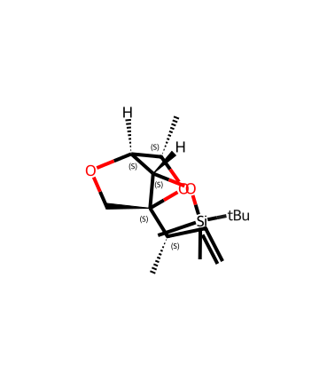 C=C[C@H](C)[C@@]12CO[C@@H]([C@H](C)O1)[C@@H]2O[Si](C)(C)C(C)(C)C